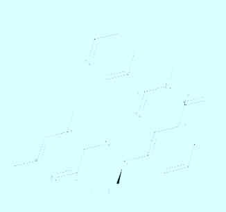 Cc1cc([C@@H](C)Nc2c(C)cc(Cl)nc2C(=O)O)c2nc(-c3ccc(F)nc3)n(C)c(=O)c2c1